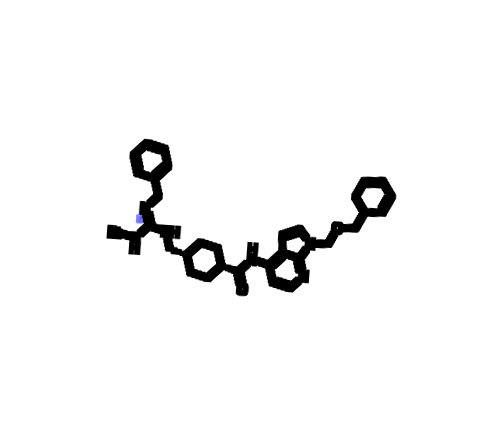 CCN/C(=N/Cc1ccccc1)NC[C@H]1CC[C@H](C(=O)Nc2ccnc3c2ccn3COCC2C=CC=CC2)CC1